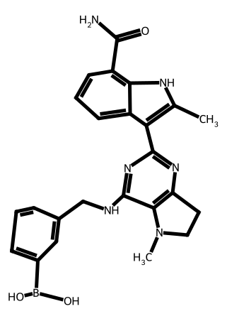 Cc1[nH]c2c(C(N)=O)cccc2c1-c1nc2c(c(NCc3cccc(B(O)O)c3)n1)N(C)CC2